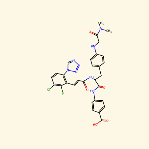 CN(C)C(=O)CNc1ccc(CC(NC(=O)C=Cc2c(-n3cnnn3)ccc(Cl)c2F)C(=O)Nc2ccc(C(=O)O)cc2)cc1